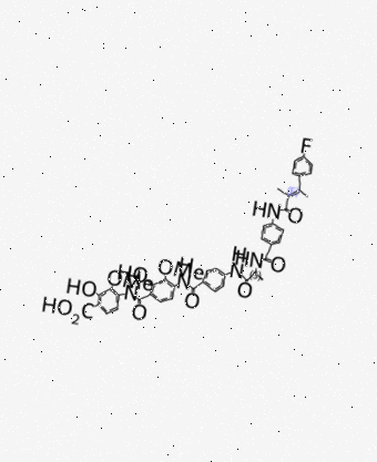 COc1c(NC(=O)c2ccc(NC(=O)c3ccc(NC(=O)[C@H](C)NC(=O)c4ccc(NC(=O)/C(C)=C(\C)c5ccc(F)cc5)cc4)cc3)c(OC)c2O)ccc(C(=O)O)c1O